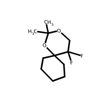 CC1(C)OCC(F)(F)C2(CCCCC2)O1